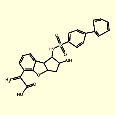 C=C(C(=O)O)c1cccc2c1OC1CC(O)C(NS(=O)(=O)c3ccc(-c4ccccc4)cc3)C21